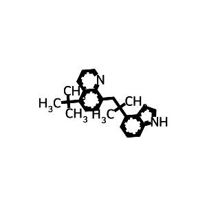 CC(C)(C)c1ccc(CC(C)(C)c2cccc3[nH]ccc23)c2ncccc12